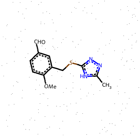 COc1ccc(C=O)cc1CSc1nnc(C)[nH]1